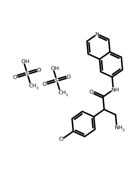 CS(=O)(=O)O.CS(=O)(=O)O.NCC(C(=O)Nc1ccc2cnccc2c1)c1ccc(Cl)cc1